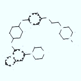 CN1CCN(CCOc2cnc(NC3CCC(Oc4nc(N5CCOCC5)cc5ncnn45)CC3)nc2)CC1